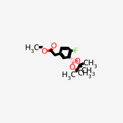 CCOC(=O)Cc1ccc(F)c(B2OC(C)(C)C(C)(C)O2)c1